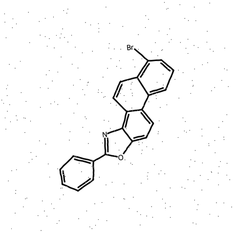 Brc1cccc2c1ccc1c2ccc2oc(-c3ccccc3)nc21